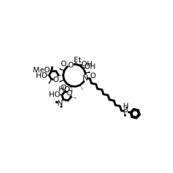 CC[C@H]1OC(=O)[C@H](C)[C@@H](C2C[C@@](C)(OC)[C@@H](O)[C@H](C)O2)[C@H](C)[C@@H](O[C@@H]2O[C@H](C)C[C@H](N(C)C)[C@H]2O)[C@](C)(O)C[C@@H](C)CN(C(=O)CCCCCCCCCCC[PH](C)(C)c2ccccc2)[C@H](C)[C@@H](O)[C@]1(C)O